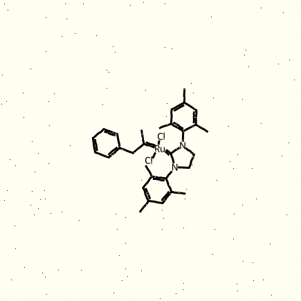 C[C](Cc1ccccc1)=[Ru]([Cl])([Cl])=[C]1N(c2c(C)cc(C)cc2C)CCN1c1c(C)cc(C)cc1C